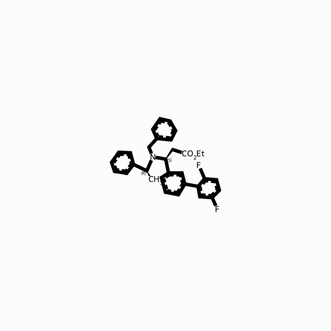 CCOC(=O)C[C@@H](c1cccc(-c2cc(F)ccc2F)c1)N(Cc1ccccc1)[C@H](C)c1ccccc1